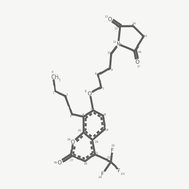 CCCCc1c(OCCCCN2C(=O)CCC2=O)ccc2c(C(F)(F)F)cc(=O)oc12